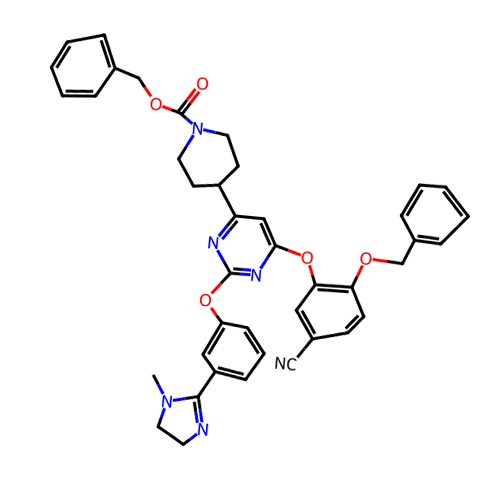 CN1CCN=C1c1cccc(Oc2nc(Oc3cc(C#N)ccc3OCc3ccccc3)cc(C3CCN(C(=O)OCc4ccccc4)CC3)n2)c1